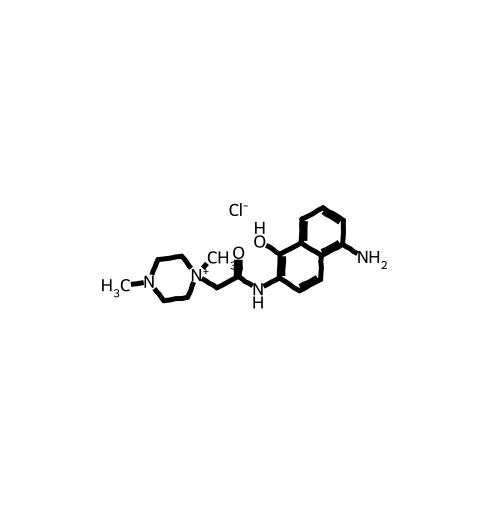 CN1CC[N+](C)(CC(=O)Nc2ccc3c(N)cccc3c2O)CC1.[Cl-]